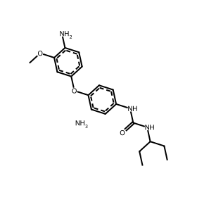 CCC(CC)NC(=O)Nc1ccc(Oc2ccc(N)c(OC)c2)cc1.N